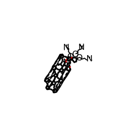 CN(C)CCCOc1ccc(C2N(C)CC34c5c6c7c8c9c%10c(c%11c%12c3c3c5c5c%13c6c6c7c7c9c9c%14c%10c%10c%11c%11c%12c%12c3c3c5c5c%13c%13c6c6c7c9c7c9c%14c%10c%10c%11c%11c%12c3c3c5c5c%13c6c7c6c9c%10c%11c3c56)C824)c(OCCCN(C)C)c1OCCCN(C)C